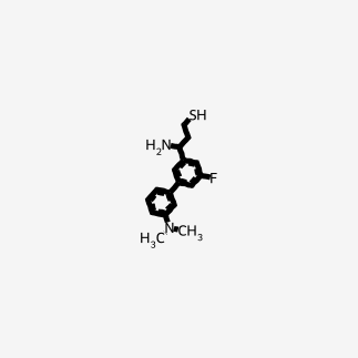 CN(C)c1cccc(-c2cc(F)cc(C(N)CCS)c2)c1